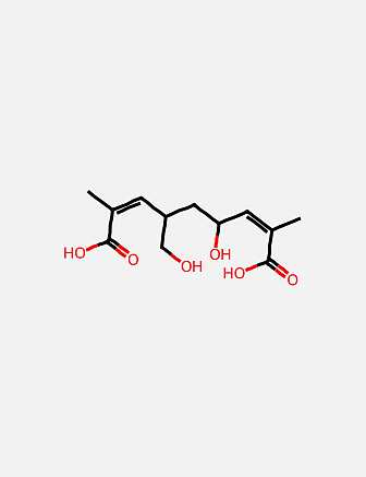 CC(=CC(O)CC(C=C(C)C(=O)O)CO)C(=O)O